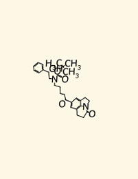 CC(C)(C)OC(=O)N(CCCCC(=O)c1cc2c3c(c1)CCN3C(=O)CC2)CC(O)c1ccccc1